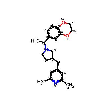 Cc1cc(CC2CCN(C(C)c3ccc4c(c3)OCCO4)C2)cc(C)n1